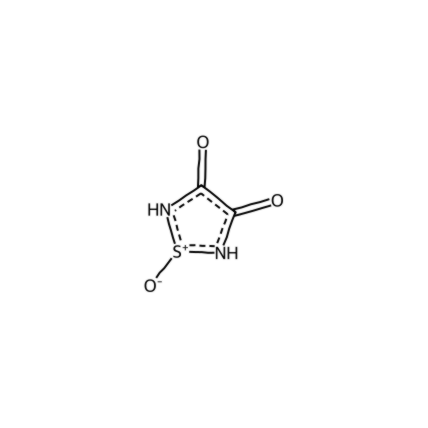 O=c1[nH][s+]([O-])[nH]c1=O